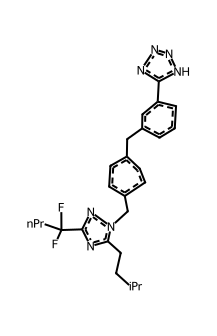 CCCC(F)(F)c1nc(CCC(C)C)n(Cc2ccc(Cc3cccc(-c4nnn[nH]4)c3)cc2)n1